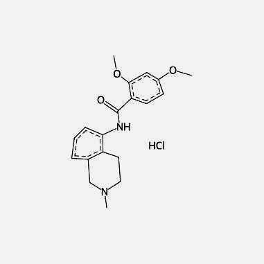 COc1ccc(C(=O)Nc2cccc3c2CCN(C)C3)c(OC)c1.Cl